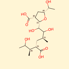 CC(O)[C@H]1C[C@@H](C(=O)O)[C@@H](C(O)C(O)[C@@H](C)C[C@H](C(=O)O)[C@@H](C)C(C)O)O1